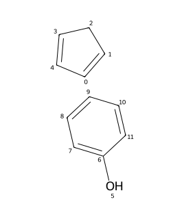 C1=CCC=C1.Oc1ccccc1